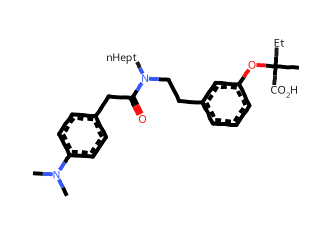 CCCCCCCN(CCc1cccc(OC(C)(CC)C(=O)O)c1)C(=O)Cc1ccc(N(C)C)cc1